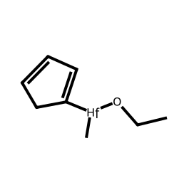 CC[O][Hf]([CH3])[C]1=CC=CC1